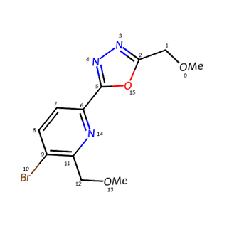 COCc1nnc(-c2ccc(Br)c(COC)n2)o1